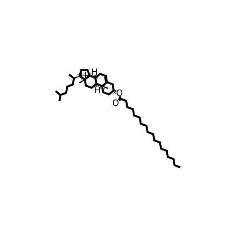 CCCCCCCCCCCCCCCCCC(=O)O[C@H]1CC[C@@]2(C)C(=CC[C@H]3[C@@H]4CC[C@H](C(C)CCCC(C)C)[C@@]4(C)CC[C@@H]32)C1